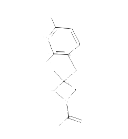 O=C(O)N1CC(O)(Cc2ccc(F)nc2F)C1